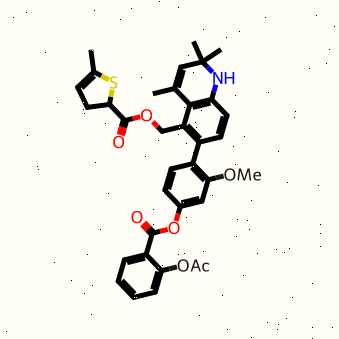 COc1cc(OC(=O)c2ccccc2OC(C)=O)ccc1-c1ccc2c(c1COC(=O)C1CC=C(C)S1)C(C)=CC(C)(C)N2